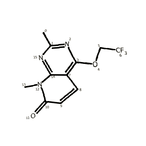 Cc1nc(OCC(F)(F)F)c2ccc(=O)n(C)c2n1